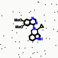 COc1cc2ncnc(N3Cc4cccc5[nH]cc(c45)C3C3CC3)c2cc1OC